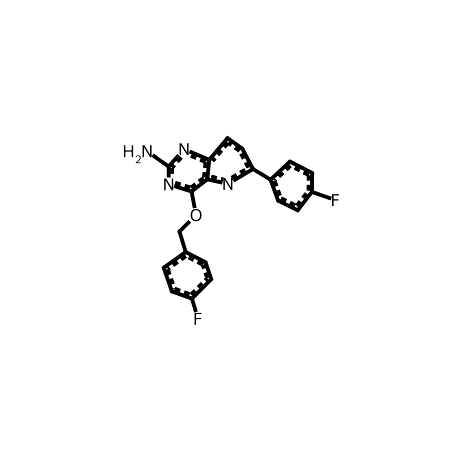 Nc1nc(OCc2ccc(F)cc2)c2nc(-c3ccc(F)cc3)ccc2n1